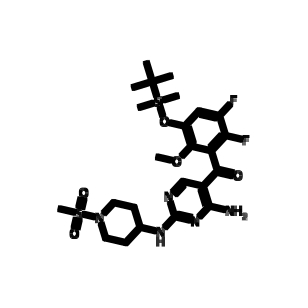 COc1c(O[Si](C)(C)C(C)(C)C)cc(F)c(F)c1C(=O)c1cnc(NC2CCN(S(C)(=O)=O)CC2)nc1N